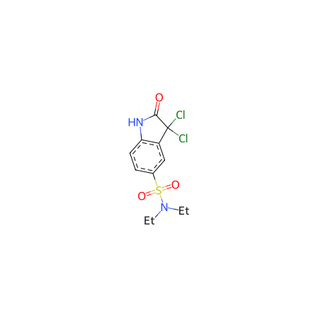 CCN(CC)S(=O)(=O)c1ccc2c(c1)C(Cl)(Cl)C(=O)N2